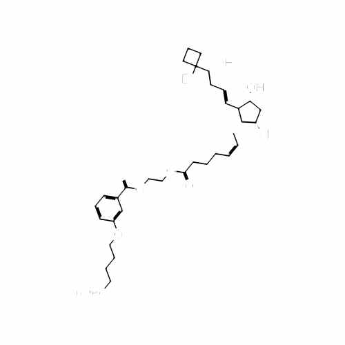 CCCCCCCCCCCCCCOc1cccc(C(=O)OCCOC(=O)CCC/C=C\C[C@@H]2C(/C=C/C[C@@H](O)C3(CC)CCC3)[C@H](O)C[C@H]2Cl)c1